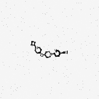 N#Cc1ccc(N2CCC(OC3CCN(C4CCC4)CC3)CC2)nc1